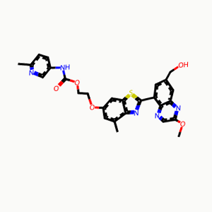 COc1cnc2c(-c3nc4c(C)cc(OCCOC(=O)Nc5ccc(C)nc5)cc4s3)cc(CO)cc2n1